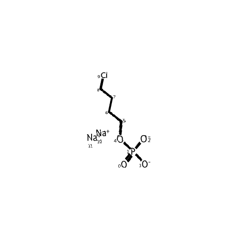 O=P([O-])([O-])OCCCCCl.[Na+].[Na+]